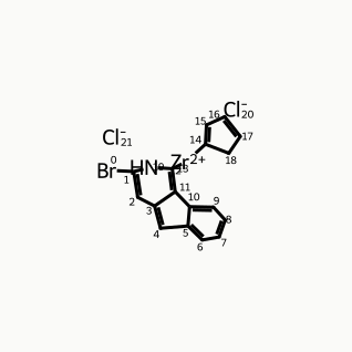 Brc1cc2cc3ccccc3c-2[c]([Zr+2][C]2=CC=CC2)[nH]1.[Cl-].[Cl-]